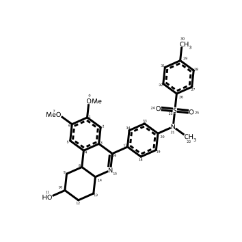 COc1cc2c(cc1OC)C1CC(O)CCC1N=C2c1ccc(N(C)S(=O)(=O)c2ccc(C)cc2)cc1